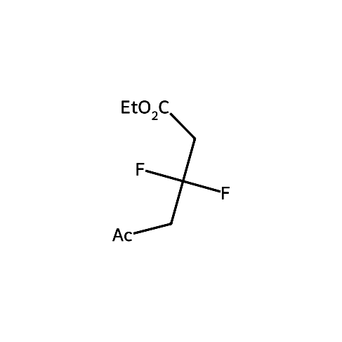 CCOC(=O)CC(F)(F)CC(C)=O